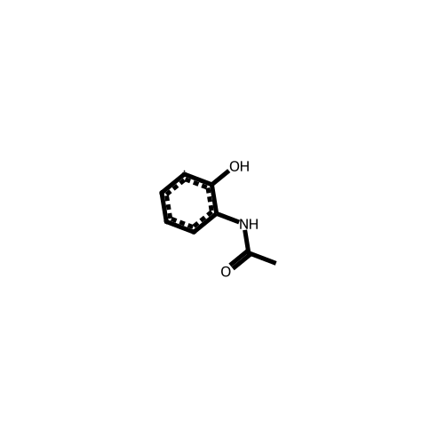 CC(=O)Nc1ccc[c]c1O